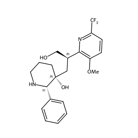 COc1ccc(C(F)(F)F)nc1[C@H](CO)C[C@]1(O)CCCN[C@H]1c1ccccc1